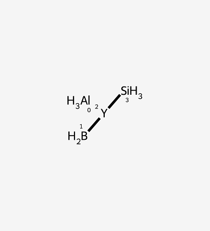 [AlH3].[BH2][Y][SiH3]